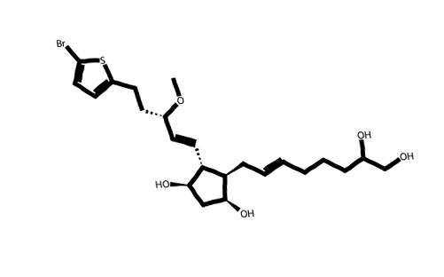 CO[C@H](C=C[C@@H]1[C@@H](CC=CCCCC(O)CO)[C@@H](O)C[C@H]1O)CCc1ccc(Br)s1